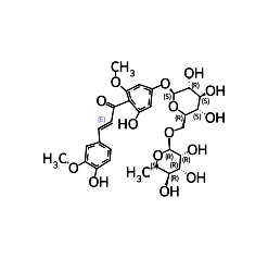 COc1cc(/C=C/C(=O)c2c(O)cc(O[C@@H]3O[C@H](CO[C@@H]4O[C@@H](C)[C@H](O)[C@@H](O)[C@H]4O)[C@@H](O)[C@H](O)[C@H]3O)cc2OC)ccc1O